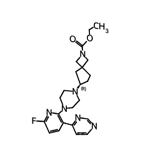 CCOC(=O)N1CC2(CC[C@@H](N3CCN(c4nc(F)ccc4-c4ccncn4)CC3)C2)C1